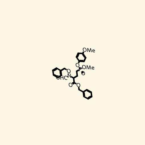 COc1ccc(OP(=O)(CCC(C(=O)OCc2ccccc2)N(C=O)OCc2ccccc2)OC)cc1